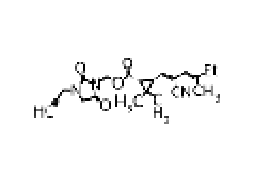 C#CCN1CC(=O)N(COC(=O)[C@@H]2[C@@H](/C=C(C#N)/C=C(\C)CC)C2(C)C)C1=O